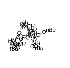 CCCCc1ccc(-c2ccc(C(=O)N[C@@H](CCCNC(=O)OC(C)(C)C)C(=O)N(C)[C@@H]3C(=O)N[C@@H](C)C(=O)N[C@H](CO)Cc4ccc(OCCNC(=O)OC(C)(C)C)c(c4)-c4cc3ccc4OCCNC(=O)OC(C)(C)C)cc2)cc1